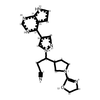 N#CCC(C1CCN(C2=NCCO2)C1)n1cc(-c2ncnc3[nH]ccc23)cn1